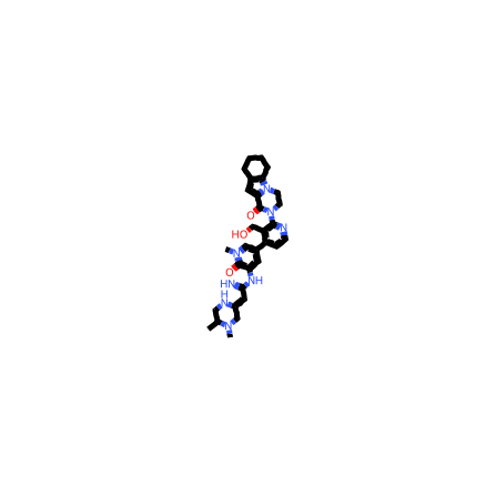 CC1CN/C(=C\C(=N)Nc2cc(-c3ccnc(N4CCn5c(cc6c5CCCC6)C4=O)c3CO)cn(C)c2=O)CN1C